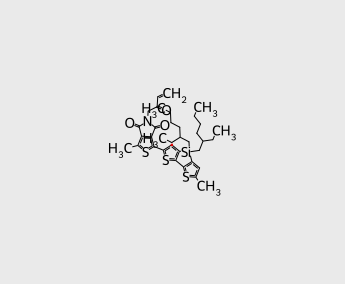 C=CC(=O)CN1C(=O)c2c(C)sc(-c3cc4c(s3)-c3sc(C)cc3[Si]4(CC(CC)CCCC)CC(CC)CCCC)c2C1=O